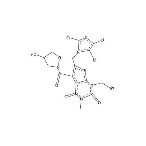 CC(C)Cn1c(=O)n(C)c(=O)c2c(C(=O)N3CC(O)CO3)c(Cn3c(Cl)nc(Cl)c3Cl)sc21